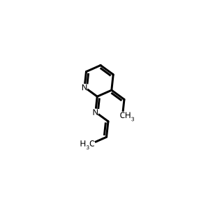 C\C=C/N=C1/N=CC=C/C1=C/C